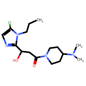 CCCn1c(Cl)cnc1C(O)CC(=O)N1CCC(N(C)C)CC1